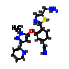 Cn1nc(-c2ccccn2)cc1Oc1cc(C#N)ccc1-c1ncc(CN)s1